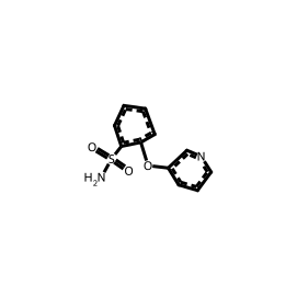 NS(=O)(=O)c1ccccc1Oc1cccnc1